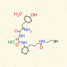 CC(C)CCNC(=O)CCCc1ccccc1NC(=O)[C@H](C)NC(=O)[C@@H](N)Cc1ccc(O)cc1.Cl.O